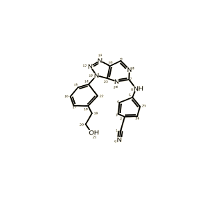 N#Cc1ccc(Nc2ncc3nnn(-c4cccc(CCO)c4)c3n2)cc1